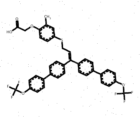 Cc1cc(SCC=C(c2ccc(-c3ccc(OC(F)(F)F)cc3)cc2)c2ccc(-c3ccc(OC(F)(F)F)cc3)cc2)ccc1OCC(=O)O